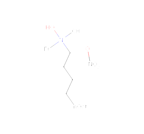 CCCCCCCCCCCC[N+](C)(O)CC.O=[N+]([O-])[O-]